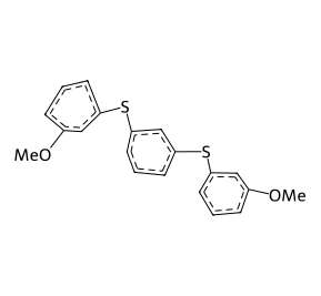 COc1cccc(Sc2cccc(Sc3cccc(OC)c3)c2)c1